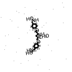 NC=O.ONCc1ccc(OCCCCCOc2ccc(CNO)cc2)cc1